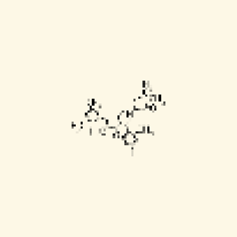 Cc1cc(F)ccc1C1CN(C2=CC(=O)C(C)(C)CC2)CCC1C(=O)N(C)Cc1cc(C(F)(F)F)cc(C(F)(F)F)c1